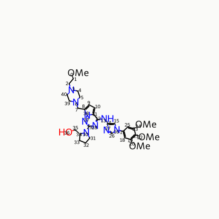 COCCN1CCN(Cc2ccc3c(Nc4cn(-c5cc(OC)c(OC)c(OC)c5)cn4)nc(N4CCC[C@H]4CO)nn23)CC1